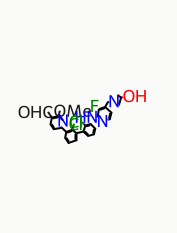 COc1nc(-c2cccc(-c3cccc(Nc4nccc(CN5CC(O)C5)c4F)c3Cl)c2Cl)ccc1C=O